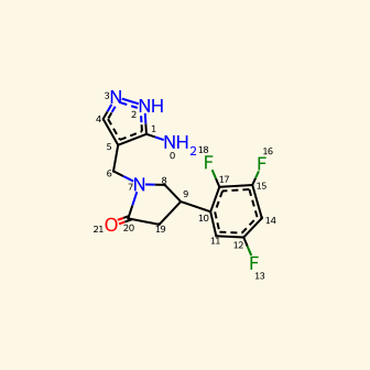 Nc1[nH]ncc1CN1CC(c2cc(F)cc(F)c2F)CC1=O